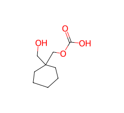 O=C(O)OCC1(CO)CCCCC1